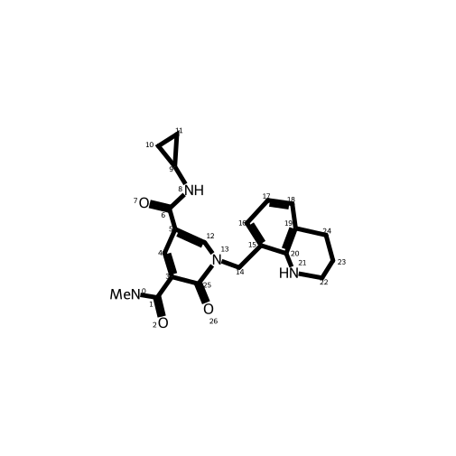 CNC(=O)c1cc(C(=O)NC2CC2)cn(Cc2cccc3c2NCCC3)c1=O